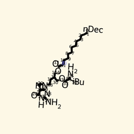 CCCCCCCCCCCCCCCCCCC/C=C/C(=O)OCC(CCn1cnc2c(=O)[nH]c(N)nc21)COC(=O)[C@@H](N)C(C)CC